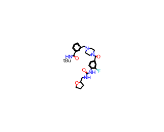 CC(C)(C)NC(=O)c1cccc(CN2CCN(C(=O)c3ccc(NC(=O)NCC4CCCO4)c(F)c3)CC2)c1